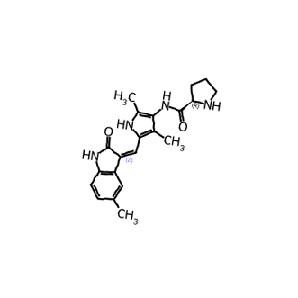 Cc1ccc2c(c1)/C(=C/c1[nH]c(C)c(NC(=O)[C@H]3CCCN3)c1C)C(=O)N2